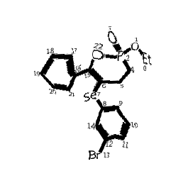 CCOP1(=O)CCC([Se]c2cccc(Br)c2)=C(c2ccccc2)O1